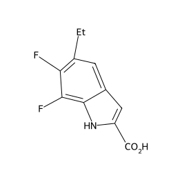 CCc1cc2cc(C(=O)O)[nH]c2c(F)c1F